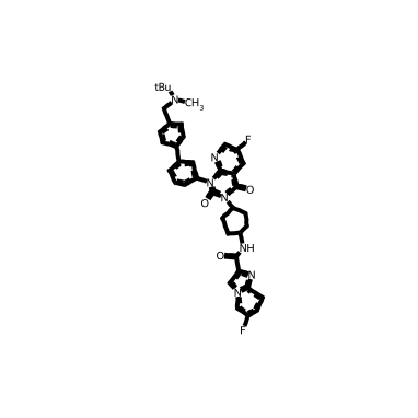 CN(Cc1ccc(-c2cccc(-n3c(=O)n(C4CCC(NC(=O)c5cn6cc(F)ccc6n5)CC4)c(=O)c4cc(F)cnc43)c2)cc1)C(C)(C)C